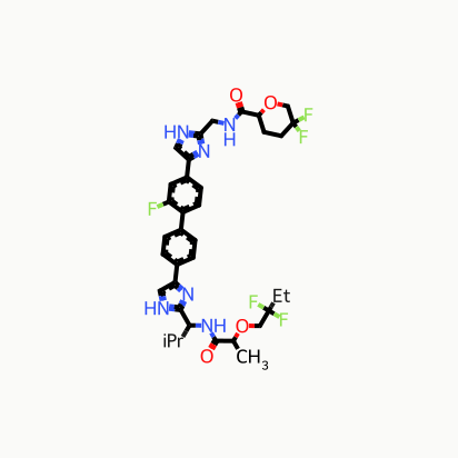 CCC(F)(F)COC(C)C(=O)NC(c1nc(-c2ccc(-c3ccc(-c4c[nH]c(CNC(=O)C5CCC(F)(F)CO5)n4)cc3F)cc2)c[nH]1)C(C)C